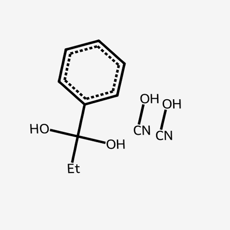 CCC(O)(O)c1ccccc1.N#CO.N#CO